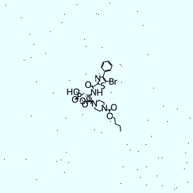 CCCCOC(=O)N1CCN(C(=O)[C@H](CP(=O)(O)O)NC(=O)c2nc(-c3ccccc3)c(Br)s2)CC1